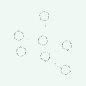 CCOc1cc(C(=O)O)c(-c2c(C(=O)O)cc(OCc3ccccc3)c(OCc3ccccc3)c2OCc2ccccc2)c(OCc2ccccc2)c1OCc1ccccc1